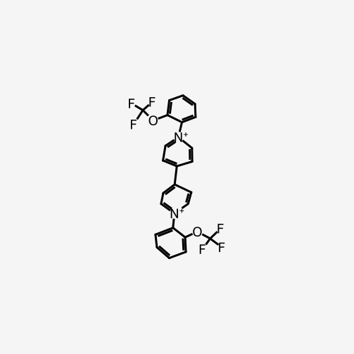 FC(F)(F)Oc1ccccc1-[n+]1ccc(-c2cc[n+](-c3ccccc3OC(F)(F)F)cc2)cc1